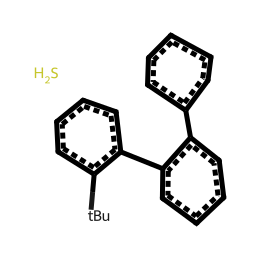 CC(C)(C)c1ccccc1-c1ccccc1-c1ccccc1.S